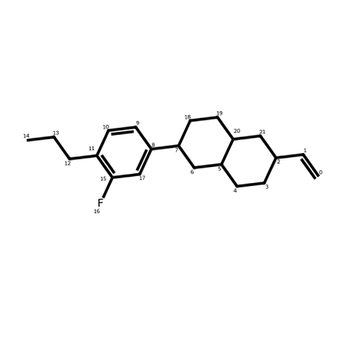 C=CC1CCC2CC(c3ccc(CCC)c(F)c3)CCC2C1